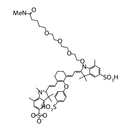 CNC(=O)CCCCOCCOCCOCCON1/C(=C/C=C2\CCCC(/C=C/C3=[N+](C)c4c(C)cc(S(=O)(=O)[O-])cc4C3(C)C)=C2Oc2ccc(S(=O)(=O)O)cc2)C(C)(C)c2cc(S(=O)(=O)O)cc(C)c21